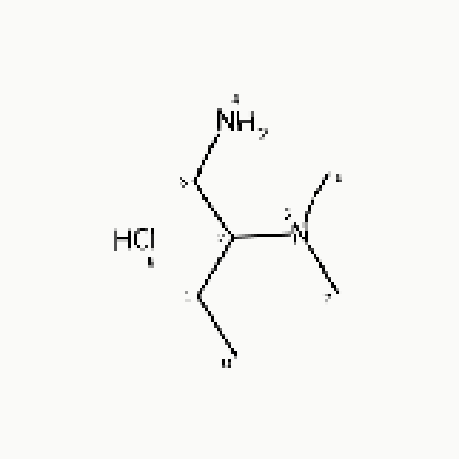 CCC(CN)N(C)C.Cl